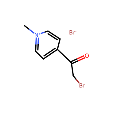 C[n+]1ccc(C(=O)CBr)cc1.[Br-]